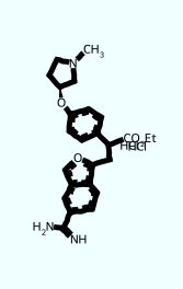 CCOC(=O)C(Cc1occ2cc(C(=N)N)ccc12)c1ccc(O[C@H]2CCN(C)C2)cc1.Cl.Cl